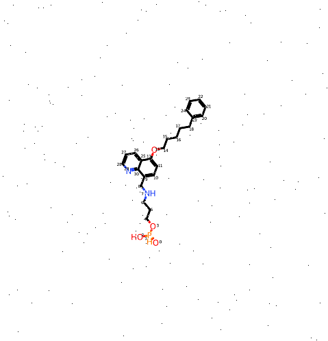 O=[PH](O)OCCCNCc1ccc(OCCCCCc2ccccc2)c2cccnc12